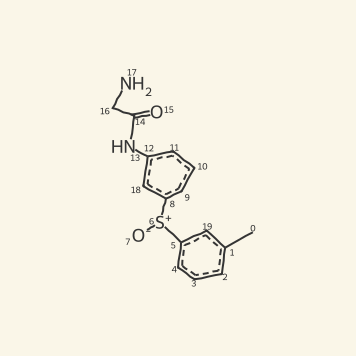 Cc1cccc([S+]([O-])c2cccc(NC(=O)CN)c2)c1